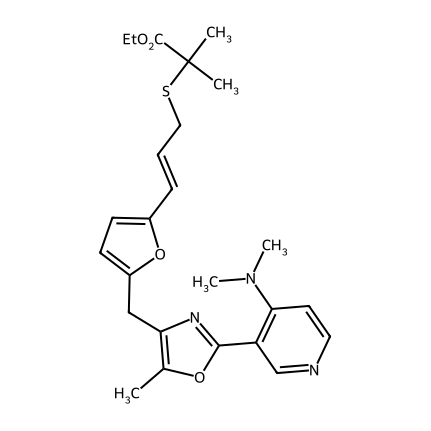 CCOC(=O)C(C)(C)SC/C=C/c1ccc(Cc2nc(-c3cnccc3N(C)C)oc2C)o1